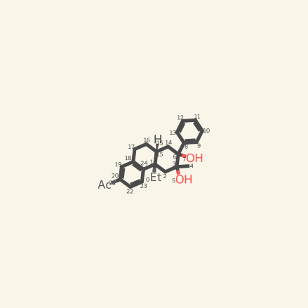 CCC12CC(C)(O)C(O)(c3ccccc3)C[C@H]1CCc1cc(C(C)=O)ccc12